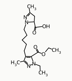 CCOC(=O)c1c(CCCCCN2N=C(C)CC2C(=O)O)c(C)nn1CC